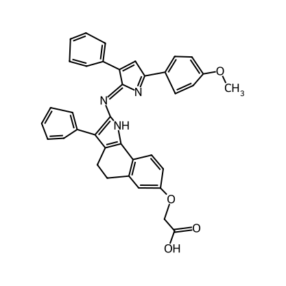 COc1ccc(C2=NC(=Nc3[nH]c4c(c3-c3ccccc3)CCc3cc(OCC(=O)O)ccc3-4)C(c3ccccc3)=C2)cc1